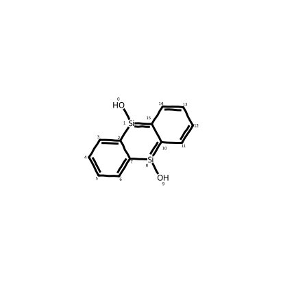 O[si]1c2ccccc2[si](O)c2ccccc21